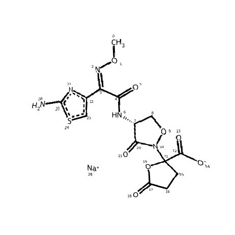 CO/N=C(\C(=O)N[C@@H]1CON(C2(C(=O)[O-])CCC(=O)O2)C1=O)c1csc(N)n1.[Na+]